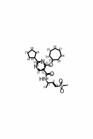 CC(C=CS(C)(=O)=O)NC(=O)c1cnc(C2CCCC2)nc1OC1CCCCCC1